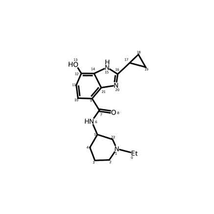 CCN1CCCC(NC(=O)c2ccc(O)c3[nH]c(C4CC4)nc23)C1